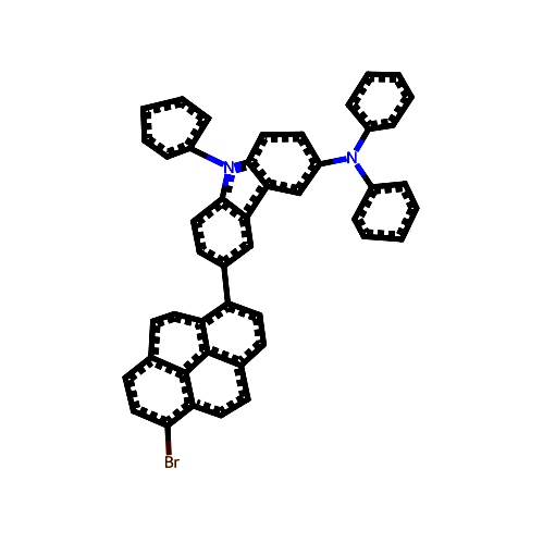 Brc1ccc2ccc3c(-c4ccc5c(c4)c4cc(N(c6ccccc6)c6ccccc6)ccc4n5-c4ccccc4)ccc4ccc1c2c43